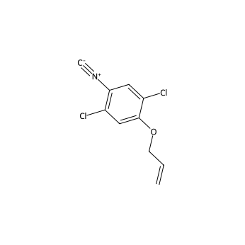 [C-]#[N+]c1cc(Cl)c(OCC=C)cc1Cl